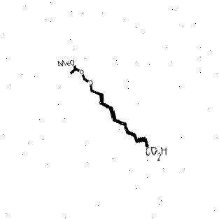 COC(C)OCOCCCCCCCCC=CC(=O)O